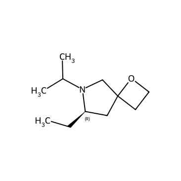 CC[C@@H]1CC2(CCO2)CN1C(C)C